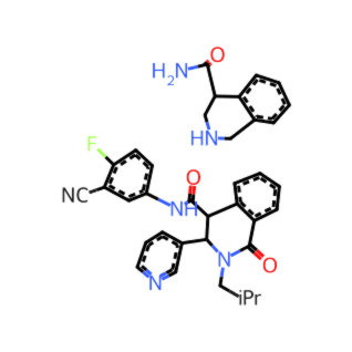 CC(C)CN1C(=O)c2ccccc2C(C(=O)Nc2ccc(F)c(C#N)c2)C1c1cccnc1.NC(=O)C1CNCc2ccccc21